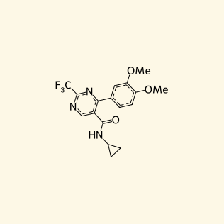 COc1ccc(-c2nc(C(F)(F)F)ncc2C(=O)NC2CC2)cc1OC